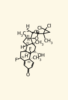 C[C@@H]1C[C@H]2[C@@H]3C[C@H](F)C4=CC(=O)C=C[C@]4(C)[C@@]3(F)[C@@H](O)C[C@]2(C)[C@@]1(OC(=O)C1(C)CC1(Cl)Cl)C(=O)S